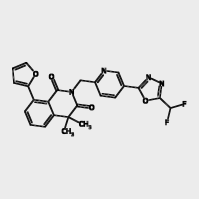 CC1(C)C(=O)N(Cc2ccc(-c3nnc(C(F)F)o3)cn2)C(=O)c2c(-c3ccco3)cccc21